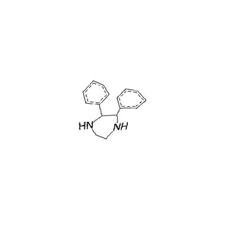 c1ccc(C2NCCNC2c2ccccc2)cc1